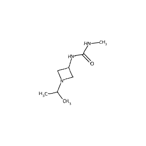 CNC(=O)NC1CN(C(C)C)C1